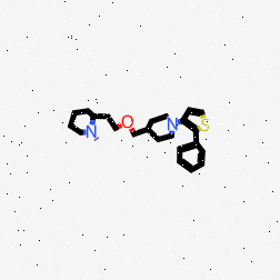 CN1CCCCC1CCOCC1CCN(c2ccsc2-c2ccccc2)CC1